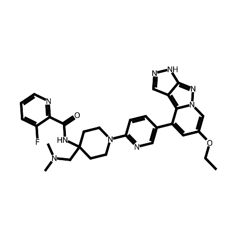 CCOc1cc(-c2ccc(N3CCC(CN(C)C)(NC(=O)c4ncccc4F)CC3)nc2)c2c3cn[nH]c3nn2c1